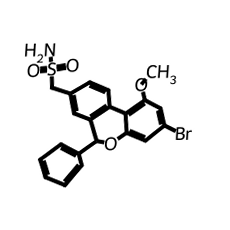 COc1cc(Br)cc2c1-c1ccc(CS(N)(=O)=O)cc1C(c1ccccc1)O2